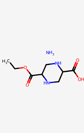 CCOC(=O)C1CNC(C(=O)O)CN1.N